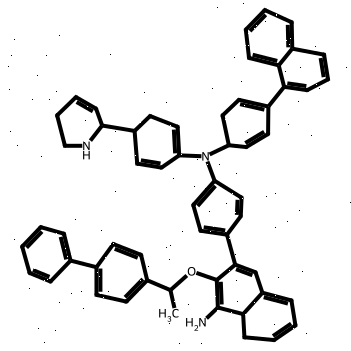 CC(OC1=C(N)C2CC=CC=C2C=C1c1ccc(N(C2=CCC(C3C=CCCN3)C=C2)C2C=CC(c3cccc4ccccc34)=CC2)cc1)c1ccc(-c2ccccc2)cc1